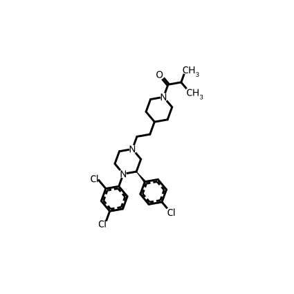 CC(C)C(=O)N1CCC(CCN2CCN(c3ccc(Cl)cc3Cl)[C@H](c3ccc(Cl)cc3)C2)CC1